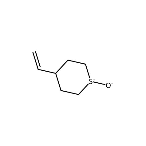 C=CC1CC[S+]([O-])CC1